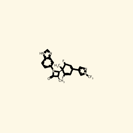 C[C@H]1C(=O)N(c2ccc3[nH]cnc3c2)[C@H]1C1(C)C(F)=CC(c2cnn(C(F)(F)F)c2)=CC1F